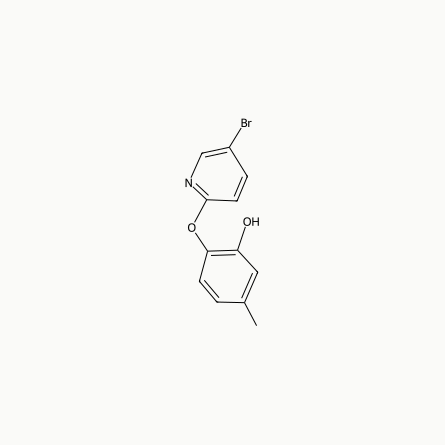 Cc1ccc(Oc2ccc(Br)cn2)c(O)c1